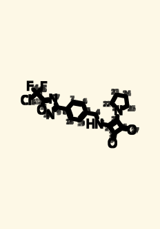 O=c1c(NCc2ccc(-c3noc(C(F)(F)Cl)n3)cc2)c(N2CCCC2)c1=O